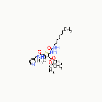 CCCCCCCCNC(=O)Nc1sc(C(=O)NCc2cccnc2)c(C)c1C(=O)OC(C)(C)C